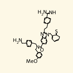 COc1cccc(CN(Cc2ccc(CN)cc2)C(=O)c2ccc3c(c2)nc(CCc2ccc(C(=N)N)cc2)n3CC2=CC=CCC2=S)c1